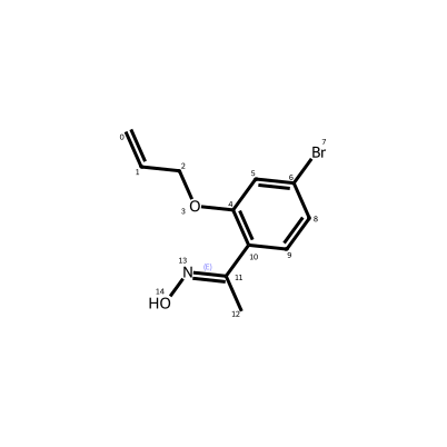 C=CCOc1cc(Br)ccc1/C(C)=N/O